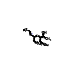 C/C=C/C(CC(C)CC)OC(CC(C)(C)C)C(C)O